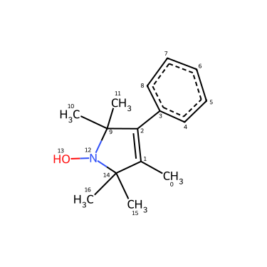 CC1=C(c2ccccc2)C(C)(C)N(O)C1(C)C